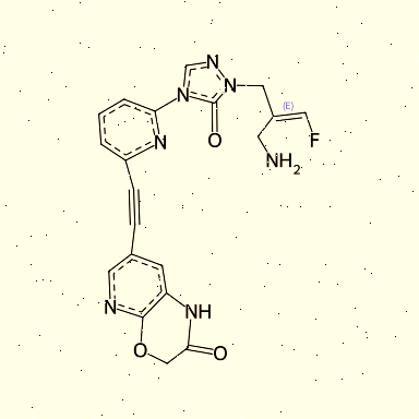 NC/C(=C\F)Cn1ncn(-c2cccc(C#Cc3cnc4c(c3)NC(=O)CO4)n2)c1=O